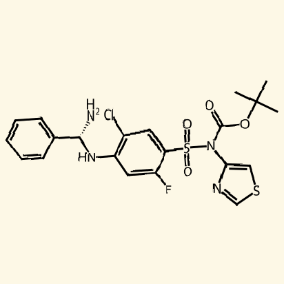 CC(C)(C)OC(=O)N(c1cscn1)S(=O)(=O)c1cc(Cl)c(N[C@@H](N)c2ccccc2)cc1F